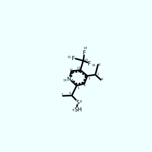 CC(C)c1cc(C(C)SS)ncc1C(F)(F)F